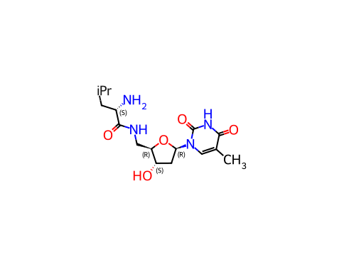 Cc1cn([C@H]2C[C@H](O)[C@@H](CNC(=O)[C@@H](N)CC(C)C)O2)c(=O)[nH]c1=O